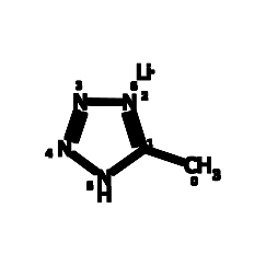 Cc1nnn[nH]1.[Li]